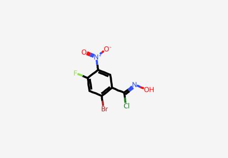 O=[N+]([O-])c1cc(/C(Cl)=N/O)c(Br)cc1F